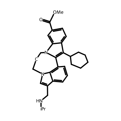 COC(=O)c1ccc2c(C3CCCCC3)c3n(c2c1)CCCn1cc(CNC(C)C)c2cccc-3c21